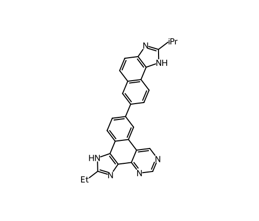 CCc1nc2c3ncncc3c3cc(-c4ccc5c(ccc6nc(C(C)C)[nH]c65)c4)ccc3c2[nH]1